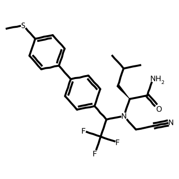 CSc1ccc(-c2ccc(C(N(CC#N)[C@@H](CC(C)C)C(N)=O)C(F)(F)F)cc2)cc1